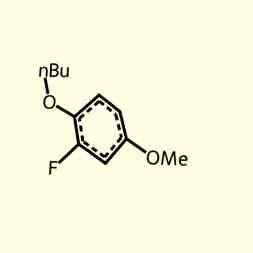 CCCCOc1ccc(OC)cc1F